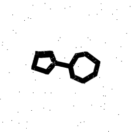 [C]1=NCCN1C1CCCCCC1